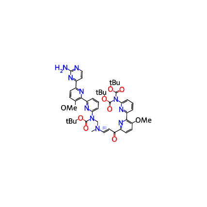 COc1ccc(C(=O)/C=C/N(C)CN(C(=O)OC(C)(C)C)c2cccc(-c3nc(-c4ccnc(N)n4)ccc3OC)n2)nc1-c1cccc(N(C(=O)OC(C)(C)C)C(=O)OC(C)(C)C)n1